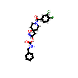 O=C(NCc1ccccc1)OC1=NOC2(CCN(C(=O)c3ccc(F)c(Cl)c3)CC2)C1